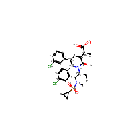 CC[C@@H](CN(C)S(=O)(=O)C1CC1)N1C(=O)C([C@H](C)C(=O)O)C[C@H](c2cccc(Cl)c2)[C@H]1c1ccc(Cl)cc1